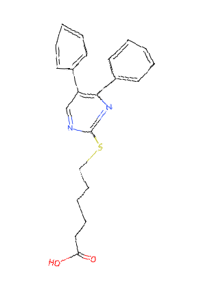 O=C(O)CCCCCSc1ncc(-c2ccccc2)c(-c2ccccc2)n1